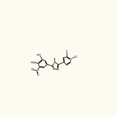 Cn1c(-c2cc(O)c(O)c([N+](=O)[O-])c2)nnc1-c1cc[n+]([O-])c(F)c1